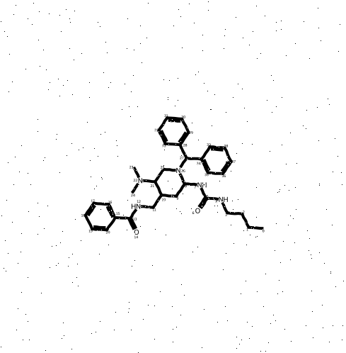 CCCCNC(=O)NC1CC(CNC(=O)c2ccccc2)C(N(C)C)CN1C(c1ccccc1)c1ccccc1